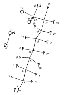 CCO.FC(F)(F)C(F)(F)C(F)(F)C(F)(F)C(F)(F)C(F)(F)C(F)(F)C(F)(F)[Si](Cl)(Cl)Cl